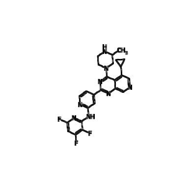 CC1CN(c2nc(-c3ccnc(Nc4nc(F)cc(F)c4F)c3)nc3cncc(C4CC4)c23)CCN1